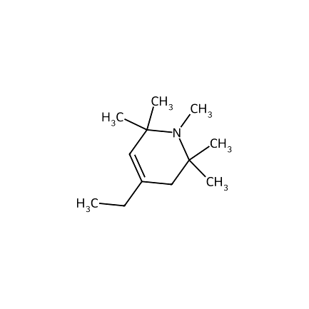 CCC1=CC(C)(C)N(C)C(C)(C)C1